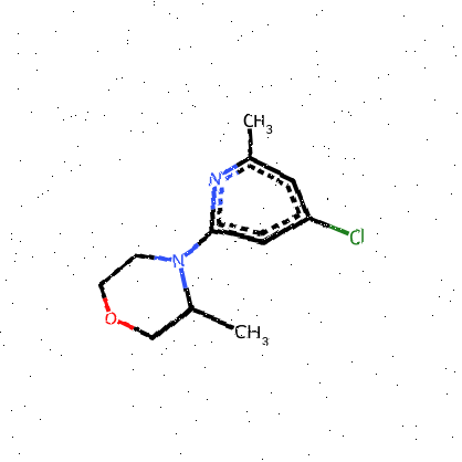 Cc1cc(Cl)cc(N2CCOCC2C)n1